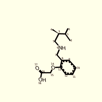 CC(C)[C@H](C)CNCc1ccccc1OCC(=O)O